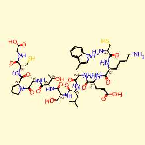 CC(C)C[C@H](NC(=O)[C@H](Cc1c[nH]c2ccccc12)NC(=O)[C@H](CCC(=O)O)NC(=O)[C@H](CCCCN)NC(=O)[C@@H](N)CS)C(=O)N[C@@H](CO)C(=O)N[C@H](C(=O)N[C@@H](C)C(=O)N1CCC[C@H]1C(=O)N[C@@H](CS)C(=O)NCC(=O)O)[C@@H](C)O